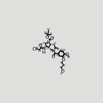 COCCCOc1cc(C(=O)N(C[C@@H]2CN(C(=O)OC(C)(C)C)C[C@H]2NC(=O)CCl)C(C)C)ccc1OC